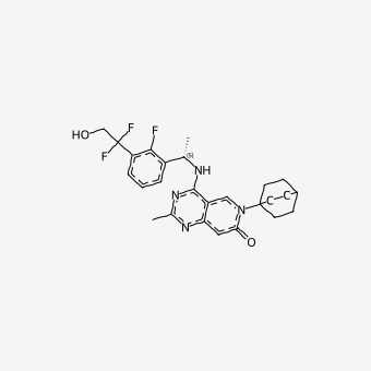 Cc1nc(N[C@@H](C)c2cccc(C(F)(F)CO)c2F)c2cn(C34CCC(CC3)CC4)c(=O)cc2n1